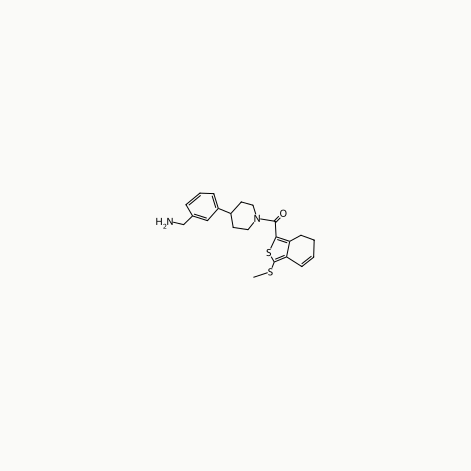 CSc1sc(C(=O)N2CCC(c3cccc(CN)c3)CC2)c2c1C=CCC2